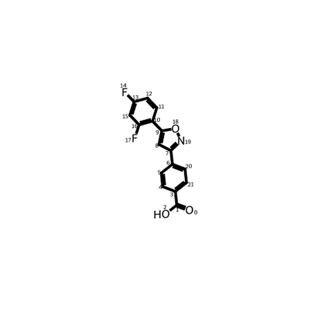 O=C(O)c1ccc(-c2cc(-c3ccc(F)cc3F)on2)cc1